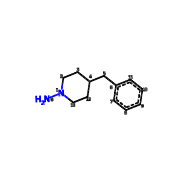 NN1CCC(Cc2ccccc2)CC1